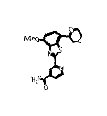 COc1ccc(C2COCCO2)c2sc(-c3cc(C(N)=O)ccn3)nc12